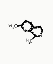 Cc1ccc2ccnc(C)c2n1